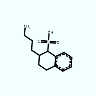 CCCCC1CCc2ccccc2C1S(=O)(=O)O